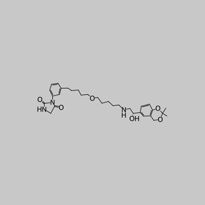 CC1(C)OCc2cc([C@H](O)CNCCCCCOCCCCCc3cccc(N4C(=O)CNC4=O)c3)ccc2O1